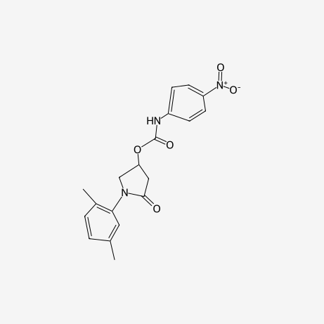 Cc1ccc(C)c(N2CC(OC(=O)Nc3ccc([N+](=O)[O-])cc3)CC2=O)c1